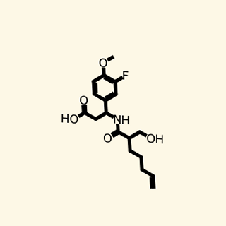 C=CCCCC(CO)C(=O)NC(CC(=O)O)c1ccc(OC)c(F)c1